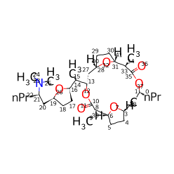 CCC[C@H]1C[C@@H]2CC[C@@H](O2)[C@H](C)C(=O)O[C@H]([C@H](C)[C@H]2CC[C@@H](C[C@@H](CCC)N(C)C)O2)C[C@@H]2CC[C@@H](O2)[C@@H](C)C(=O)O1